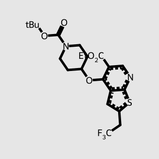 CCOC(=O)c1cnc2sc(CC(F)(F)F)cc2c1OC1CCN(C(=O)OC(C)(C)C)CC1